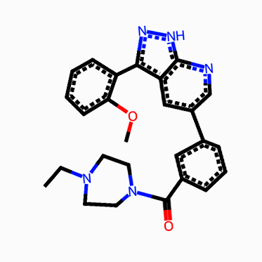 CCN1CCN(C(=O)c2cccc(-c3cnc4[nH]nc(-c5ccccc5OC)c4c3)c2)CC1